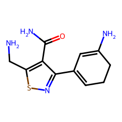 NCc1snc(C2=CCCC(N)=C2)c1C(N)=O